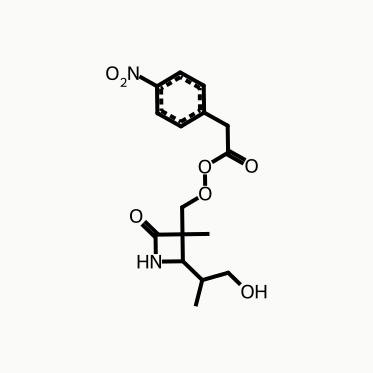 CC(CO)C1NC(=O)C1(C)COOC(=O)Cc1ccc([N+](=O)[O-])cc1